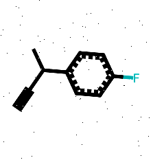 C#CC(C)c1ccc(F)cc1